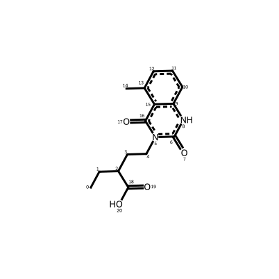 CCC(CCn1c(=O)[nH]c2cccc(C)c2c1=O)C(=O)O